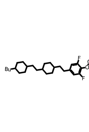 CCCCC1CCC(CCC2CCC(CCc3cc(F)c(OC(F)(F)F)c(F)c3)CC2)CC1